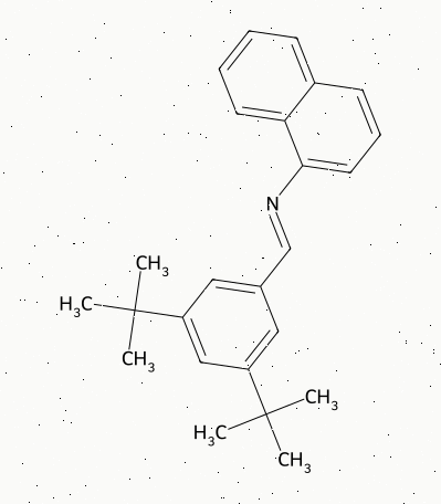 CC(C)(C)c1cc(C=Nc2cccc3ccccc23)cc(C(C)(C)C)c1